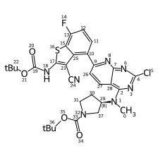 CN(c1nc(Cl)nc2nc(-c3ccc(F)c4sc(NC(=O)OC(C)(C)C)c(C#N)c34)ccc12)[C@@H]1CCN(C(=O)OC(C)(C)C)C1